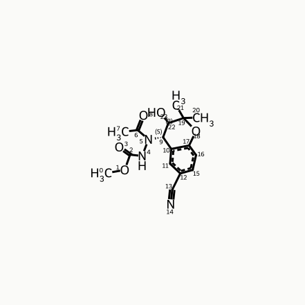 COC(=O)NN(C(C)=O)[C@H]1c2cc(C#N)ccc2OC(C)(C)[C@@H]1O